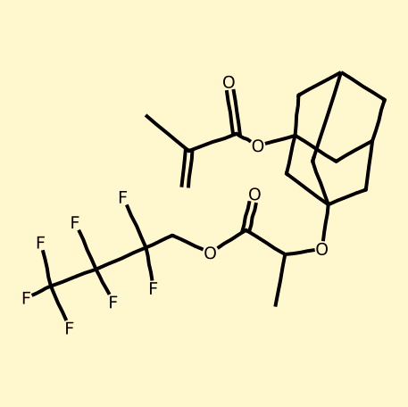 C=C(C)C(=O)OC12CC3CC(C1)CC(OC(C)C(=O)OCC(F)(F)C(F)(F)C(F)(F)F)(C3)C2